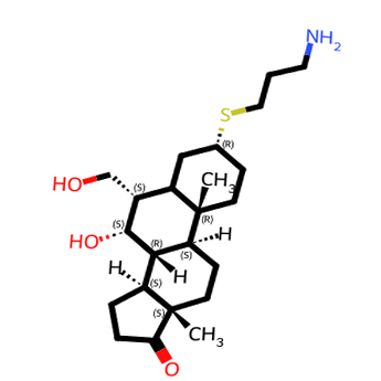 C[C@]12CC[C@@H](SCCCN)CC1[C@@H](CO)[C@@H](O)[C@@H]1[C@@H]2CC[C@]2(C)C(=O)CC[C@@H]12